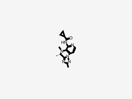 Cc1nc2n(n1)-c1ccnc(NC(=O)C3CC3)c1N(C)[C@H]2C